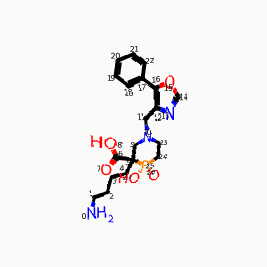 NCCCCC1(C(=O)O)CN(Cc2ncoc2-c2ccccc2)CCP1(=O)O